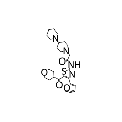 O=C(CN1CCC(N2CCCCC2)CC1)Nc1nc(-c2ccco2)c(C(=O)C2CCOCC2)s1